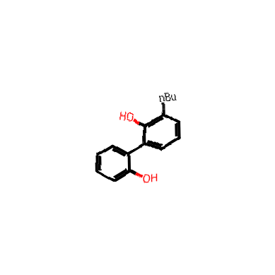 CCCCc1cccc(-c2ccccc2O)c1O